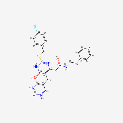 O=C(Cc1nc(SCc2ccc(F)cc2)[nH]c(=O)c1Cc1cncnc1)NCCc1ccccc1